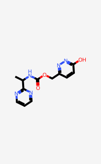 CC(NC(=O)OCc1ccc(O)nn1)c1ncccn1